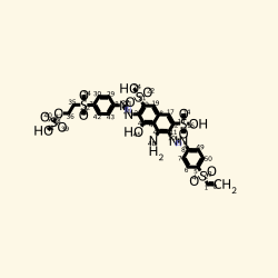 C=CS(=O)(=O)c1ccc(/N=N/c2c(S(=O)(=O)O)cc3cc(S(=O)(=O)O)c(/N=N/c4ccc(S(=O)(=O)CCOS(=O)(=O)O)cc4)c(O)c3c2N)cc1